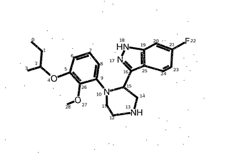 CCC(C)Oc1[c]ccc(N2CCNCC2c2n[nH]c3cc(F)ccc23)c1OC